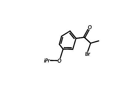 CC(C)Oc1cccc(C(=O)C(C)Br)c1